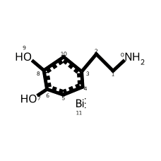 NCCc1ccc(O)c(O)c1.[Bi]